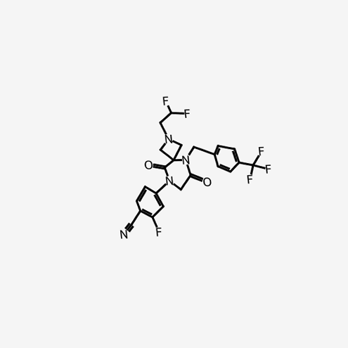 N#Cc1ccc(N2CC(=O)N(Cc3ccc(C(F)(F)F)cc3)C3(CN(CC(F)F)C3)C2=O)cc1F